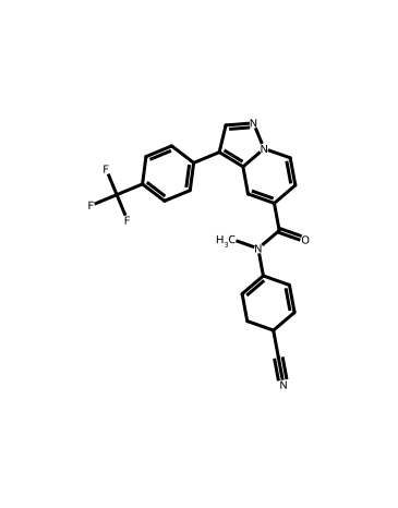 CN(C(=O)c1ccn2ncc(-c3ccc(C(F)(F)F)cc3)c2c1)C1=CCC(C#N)C=C1